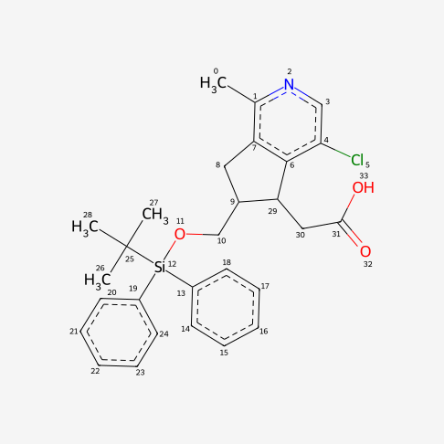 Cc1ncc(Cl)c2c1CC(CO[Si](c1ccccc1)(c1ccccc1)C(C)(C)C)C2CC(=O)O